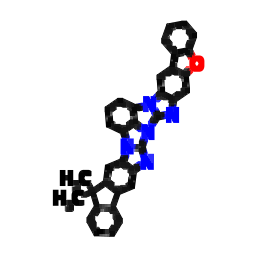 CC1(C)c2ccccc2-c2cc3nc4n(c3cc21)c1cccc2c1n4c1nc3cc4oc5ccccc5c4cc3n21